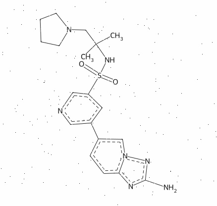 CC(C)(CN1CCCC1)NS(=O)(=O)c1cncc(-c2ccc3nc(N)nn3c2)c1